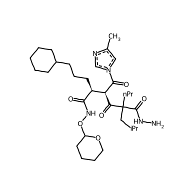 CCCC(CC(C)C)(C(=O)NN)C(=O)[C@H](C(=O)n1cnc(C)c1)[C@H](CCCC1CCCCC1)C(=O)NOC1CCCCO1